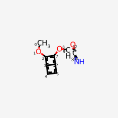 COc1c2ccc-2c1OC.N=C=O